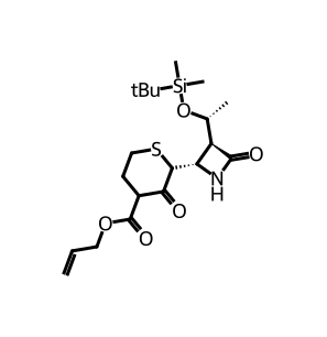 C=CCOC(=O)C1CCSC([C@H]2NC(=O)[C@@H]2[C@@H](C)O[Si](C)(C)C(C)(C)C)C1=O